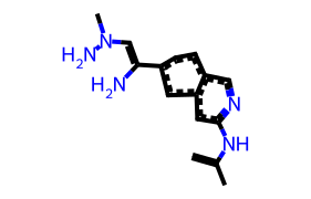 C=C(C)Nc1cc2cc(/C(N)=C/N(C)N)ccc2cn1